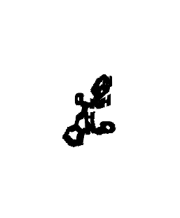 O=CNc1ccccc1C=CC(=O)NC1CN2CCC1CC2